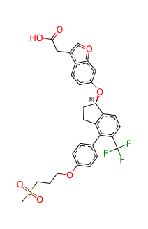 CS(=O)(=O)CCCOc1ccc(-c2c(C(F)(F)F)ccc3c2CC[C@H]3Oc2ccc3c(CC(=O)O)coc3c2)cc1